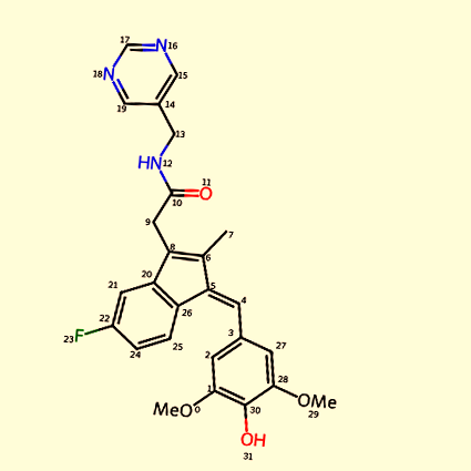 COc1cc(/C=C2/C(C)=C(CC(=O)NCc3cncnc3)c3cc(F)ccc32)cc(OC)c1O